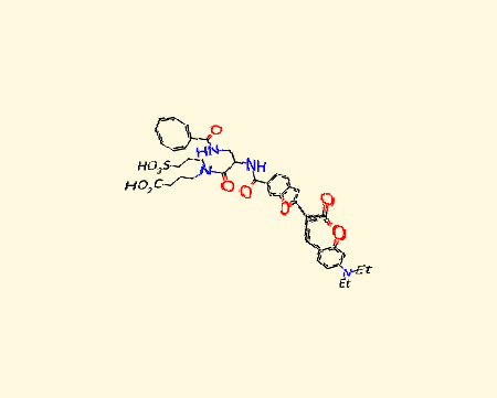 CCN(CC)c1ccc2cc(-c3cc4ccc(C(=O)NC(CNC(=O)C5=C/C=C\C=C/C=C\5)C(=O)N(CCCC(=O)O)CCCS(=O)(=O)O)cc4o3)c(=O)oc2c1